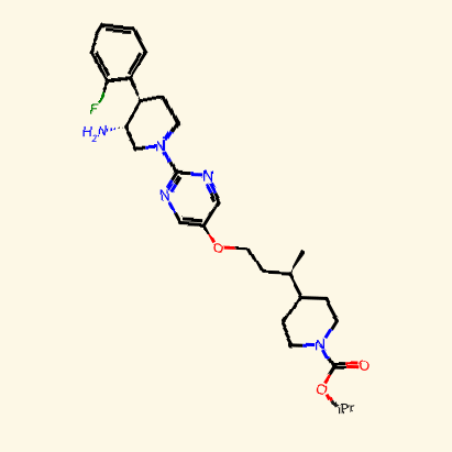 CC(C)OC(=O)N1CCC([C@H](C)CCOc2cnc(N3CC[C@H](c4ccccc4F)[C@@H](N)C3)nc2)CC1